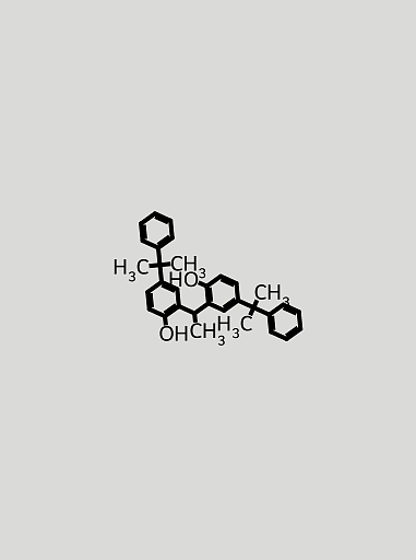 CC(c1cc(C(C)(C)c2ccccc2)ccc1O)c1cc(C(C)(C)c2ccccc2)ccc1O